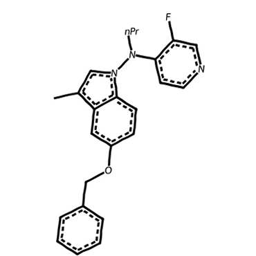 CCCN(c1ccncc1F)n1cc(C)c2cc(OCc3ccccc3)ccc21